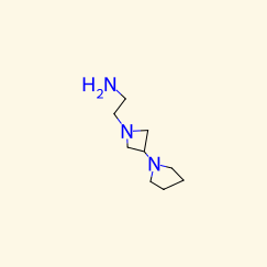 NCCN1CC(N2CCCC2)C1